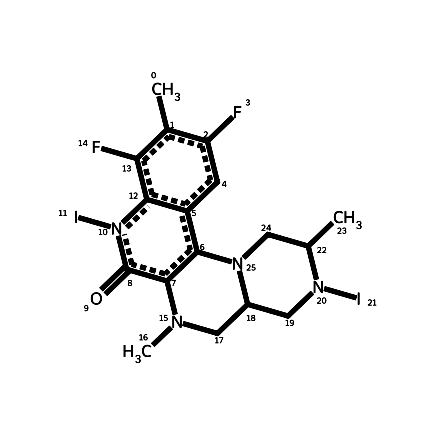 Cc1c(F)cc2c3c(c(=O)n(I)c2c1F)N(C)CC1CN(I)C(C)CN31